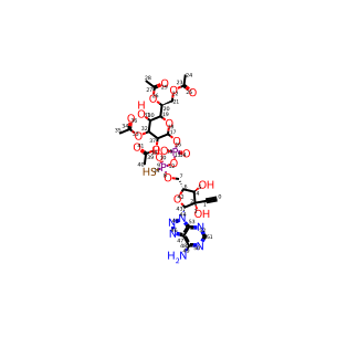 C#C[C@@]1(O)[C@H](O)[C@@H](COP(=O)(S)OP(=O)(O)OC2OC([C@H](COC(C)=O)OC(C)=O)C(O)C(OC(C)=O)C2OC(C)=O)O[C@H]1n1nnc2c(N)ncnc21